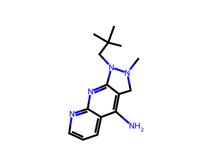 CN1Cc2c(nc3ncccc3c2N)N1CC(C)(C)C